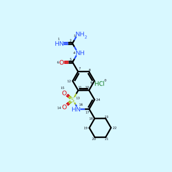 Cl.N=C(N)NC(=O)c1ccc2c(c1)S(=O)(=O)NC(C1CCCCC1)=C2